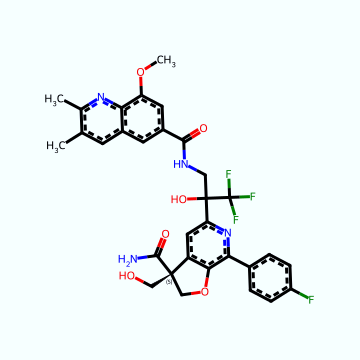 COc1cc(C(=O)NCC(O)(c2cc3c(c(-c4ccc(F)cc4)n2)OC[C@]3(CO)C(N)=O)C(F)(F)F)cc2cc(C)c(C)nc12